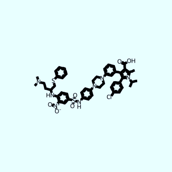 Cc1c(C(=O)O)c(-c2cccc(N3CCN(c4ccc(NS(=O)(=O)c5ccc(NC(CCN(C)C)CSc6ccccc6)c([N+](=O)[O-])c5)cc4)CC3)c2)c(-c2ccc(Cl)cc2)n1C(C)C